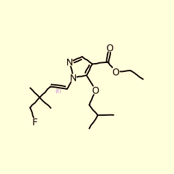 CCOC(=O)c1cnn(/C=C/C(C)(C)CF)c1OCC(C)C